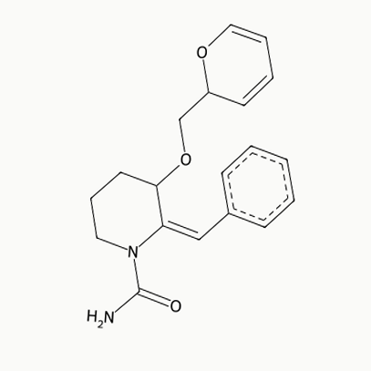 NC(=O)N1CCCC(OCC2C=CC=CO2)C1=Cc1ccccc1